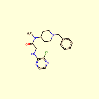 CN(C(=O)CNc1nccnc1Cl)C1CCN(Cc2ccccc2)CC1